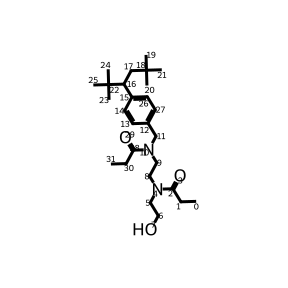 CCC(=O)N(CCO)CCN(Cc1ccc(C(CC(C)(C)C)C(C)(C)C)cc1)C(=O)CC